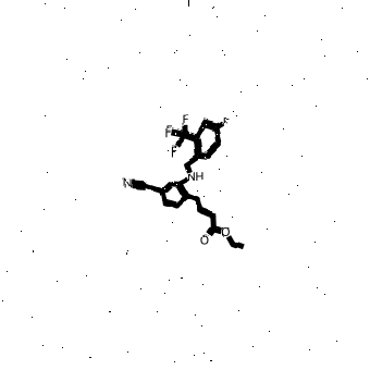 CCOC(=O)CCCc1ccc(C#N)cc1NCc1ccc(F)cc1C(F)(F)F